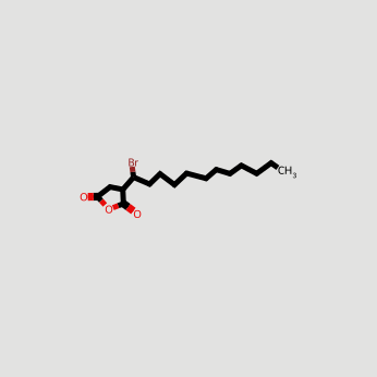 CCCCCCCCCCCC(Br)C1CC(=O)OC1=O